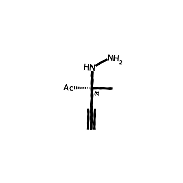 C#C[C@](C)(NN)C(C)=O